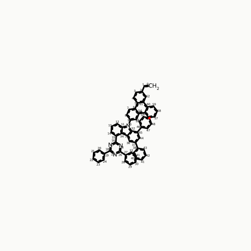 C=Cc1ccc2c3ccc(-n4c5cccc(-c6nc(-c7ccccc7)nc(-c7ccccc7)n6)c5c5cc(-c6ccccc6)cc(-c6ccccc6)c54)cc3c3ccccc3c2c1